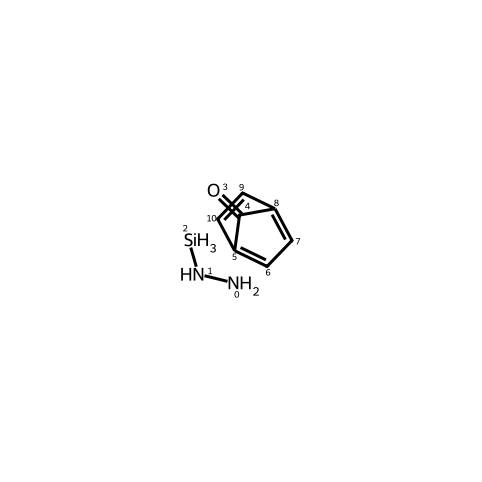 NN[SiH3].O=C1C2=CC=C1C=C2